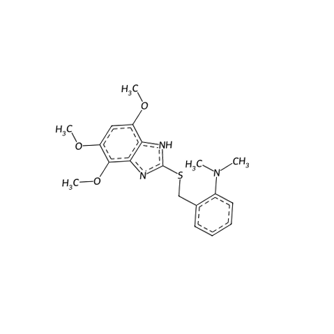 COc1cc(OC)c2[nH]c(SCc3ccccc3N(C)C)nc2c1OC